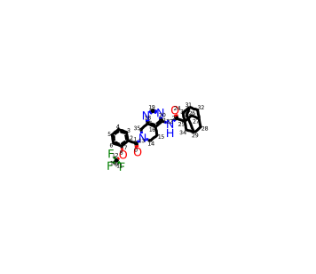 O=C(c1ccccc1OC(F)(F)F)N1CCc2c(ncnc2NC(=O)C23CC4CC(CC(C4)C2)C3)C1